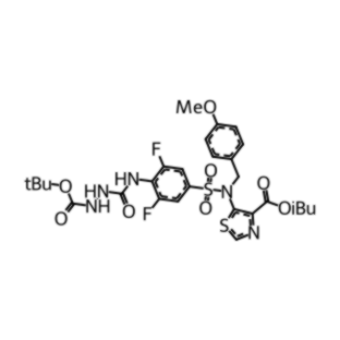 COc1ccc(CN(c2scnc2C(=O)OCC(C)C)S(=O)(=O)c2cc(F)c(NC(=O)NNC(=O)OC(C)(C)C)c(F)c2)cc1